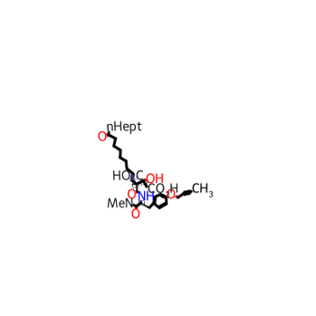 CC#CCOc1ccc(C[C@H](NC(=O)[C@@H](/C=C/CCCCCCC(=O)CCCCCCC)[C@@](O)(CC(=O)O)C(=O)O)C(=O)NC)cc1